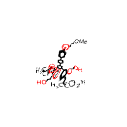 C=C(C)C(=O)Oc1cc(-c2ccc(-c3ccc(OCCCCOC)cc3)cc2)cc(-c2ccc(C=C(C)C(=O)O)c(OCCCO)c2)c1OCCCCO